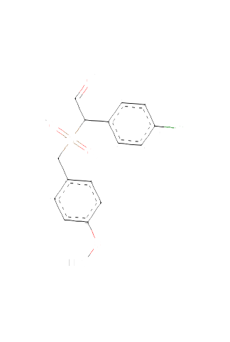 COc1ccc(CS(=O)(=O)C(C=O)c2ccc(Br)cc2)cc1